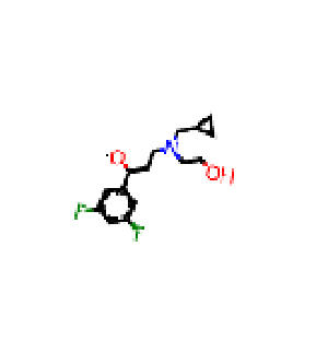 [O]C(CCN(CCO)CC1CC1)c1cc(F)cc(F)c1